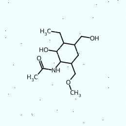 CCC1C(CO)CC(COC)C(NC(C)=O)C1O